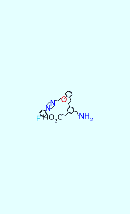 NCCc1cc(CCC(=O)O)cc(CCc2ccccc2OCCCN2CCN(c3ccc(F)cc3)CC2)c1